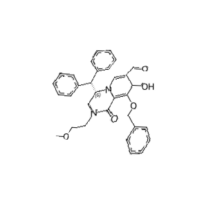 COCCN1C[C@H](C(c2ccccc2)c2ccccc2)N2C=C(C=O)C(O)C(OCc3ccccc3)=C2C1=O